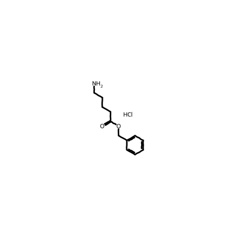 Cl.NCCCCC(=O)OCc1ccccc1